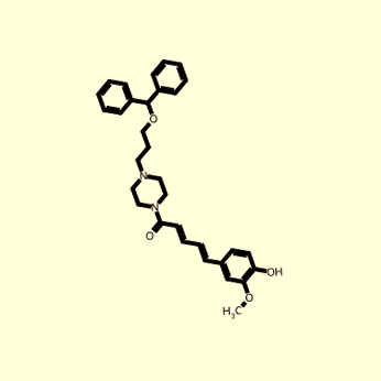 COc1cc(C=CC=CC(=O)N2CCN(CCCOC(c3ccccc3)c3ccccc3)CC2)ccc1O